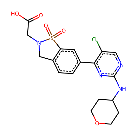 O=C(O)CN1Cc2ccc(-c3nc(NC4CCOCC4)ncc3Cl)cc2S1(=O)=O